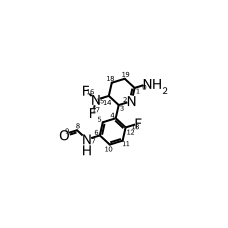 NC1=NC(c2cc(NC=O)ccc2F)C(N(F)F)CC1